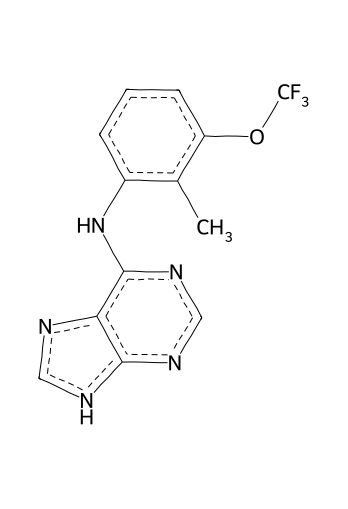 Cc1c(Nc2ncnc3[nH]cnc23)cccc1OC(F)(F)F